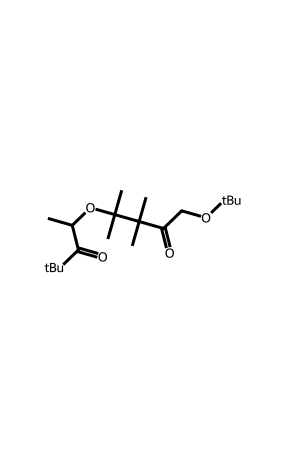 CC(OC(C)(C)C(C)(C)C(=O)COC(C)(C)C)C(=O)C(C)(C)C